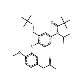 COc1ccc(CC(C)=O)cc1Oc1ccc(N(C(=O)C(C)(C)C)C(C)C)cc1CSC(C)(C)C